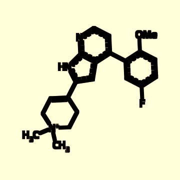 COc1ccc(F)cc1-c1ccnc2[nH]c(C3=CC[N+](C)(C)CC3)cc12